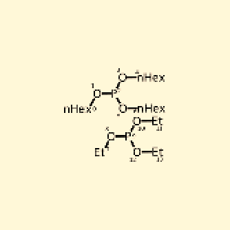 CCCCCCOP(OCCCCCC)OCCCCCC.CCOP(OCC)OCC